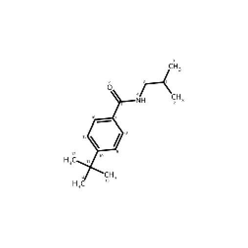 CC(C)CNC(=O)c1ccc(C(C)(C)C)cc1